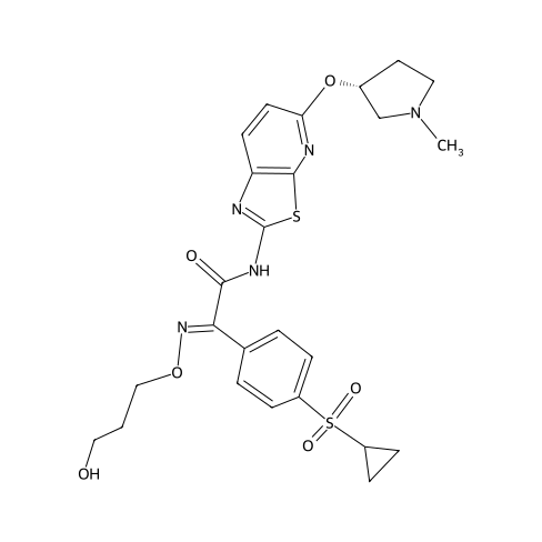 CN1CC[C@@H](Oc2ccc3nc(NC(=O)/C(=N/OCCCO)c4ccc(S(=O)(=O)C5CC5)cc4)sc3n2)C1